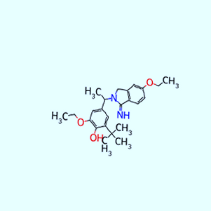 CCOc1ccc2c(c1)CN(C(C)c1cc(OCC)c(O)c(C(C)(C)C)c1)C2=N